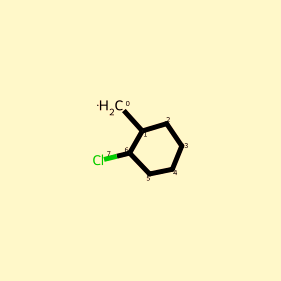 [CH2]C1CCCCC1Cl